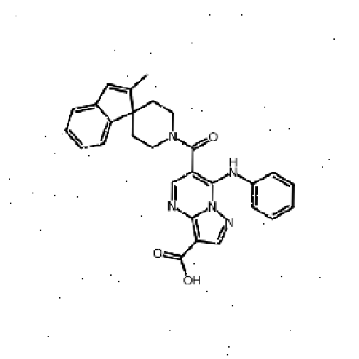 CC1=Cc2ccccc2C12CCN(C(=O)c1cnc3c(C(=O)O)cnn3c1Nc1ccccc1)CC2